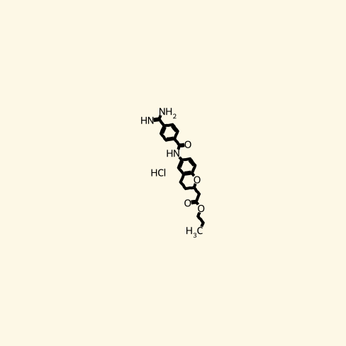 CCCOC(=O)CC1CCc2cc(NC(=O)c3ccc(C(=N)N)cc3)ccc2O1.Cl